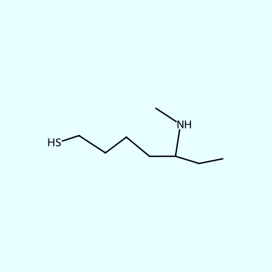 CCC(CCCCS)NC